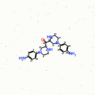 Nc1ccc(N2CCNC(C(=O)C3CN(c4ccc(N)cc4)CCN3)C2)cc1